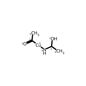 C[C](=O)[Cu][NH]C(C)O